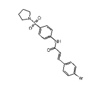 O=C(C=Cc1ccc(Br)cc1)Nc1ccc(S(=O)(=O)N2CCCC2)cc1